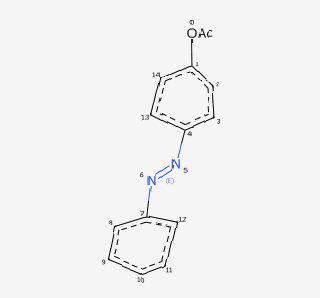 CC(=O)Oc1ccc(/N=N/c2ccccc2)cc1